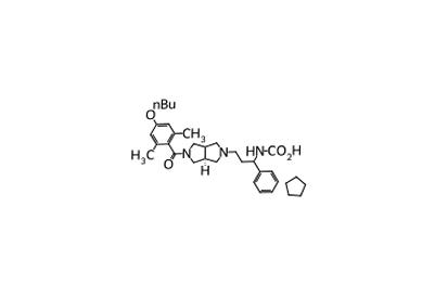 C1CCCC1.CCCCOc1cc(C)c(C(=O)N2CC3CN(CCC(NC(=O)O)c4ccccc4)C[C@H]3C2)c(C)c1